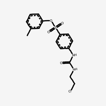 Cc1cccc(OS(=O)(=O)c2ccc(NC(=O)NCCCl)cc2)c1